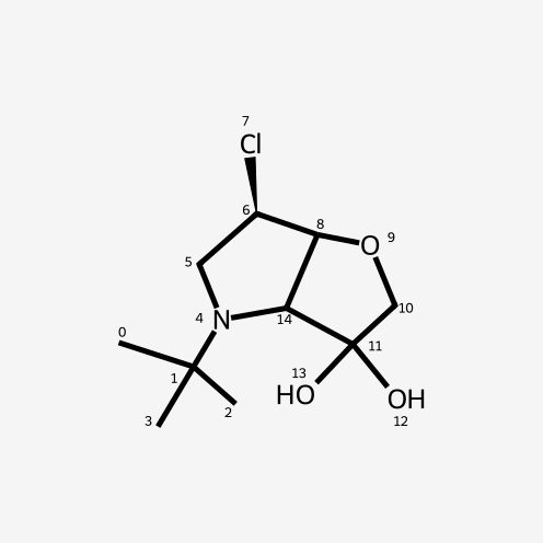 CC(C)(C)N1C[C@@H](Cl)C2OCC(O)(O)C21